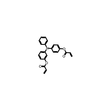 C=CC(=O)Oc1ccc(N(c2ccccc2)c2cccc(OC(=O)C=C)c2)cc1